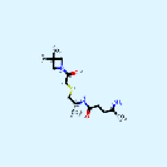 NC(CCC(=O)N[C@@H](CSCC(=O)N1CC([N+](=O)[O-])([N+](=O)[O-])C1)C(=O)O)C(=O)O